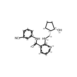 N#Cc1cccc(NC(=O)c2cccnc2NC[C@@H]2CCC[C@@H]2O)c1